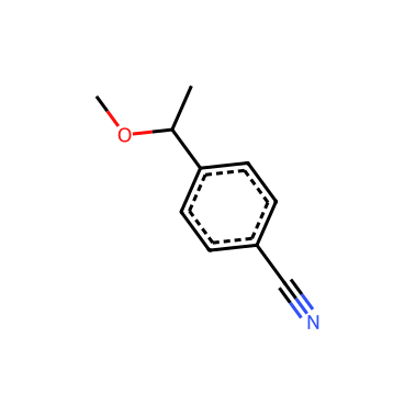 COC(C)c1ccc(C#N)cc1